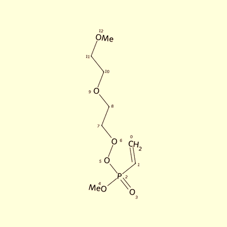 C=CP(=O)(OC)OOCCOCCOC